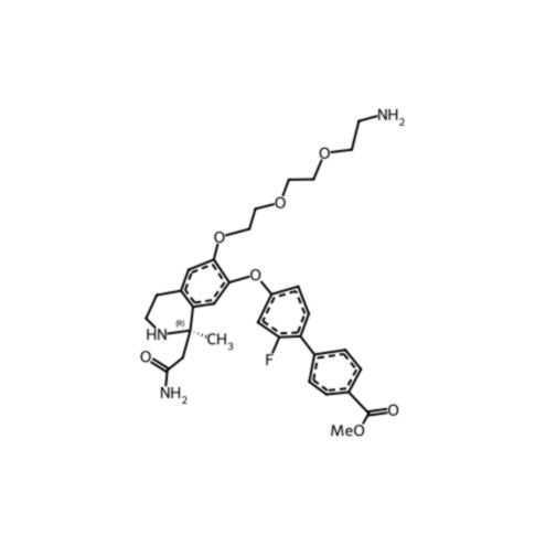 COC(=O)c1ccc(-c2ccc(Oc3cc4c(cc3OCCOCCOCCN)CCN[C@]4(C)CC(N)=O)cc2F)cc1